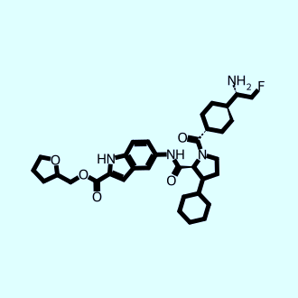 N[C@H](CF)[C@H]1CC[C@H](C(=O)N2CCC(C3CCCCC3)[C@H]2C(=O)Nc2ccc3[nH]c(C(=O)OCC4CCCO4)cc3c2)CC1